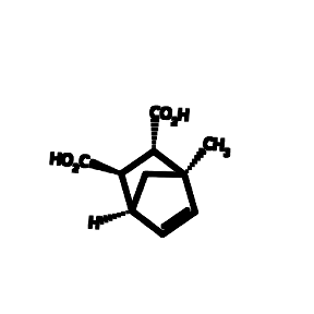 C[C@]12C=C[C@H](C1)[C@@H](C(=O)O)[C@@H]2C(=O)O